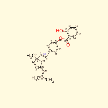 C=C[C@@](C)(/C=C/c1ccc(OC(=O)c2ccccc2O)cc1)CCC=C(C)C